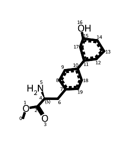 COC(=O)[C@@H](N)Cc1ccc(-c2cccc(O)c2)cc1